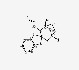 O=COC1[C@@H]2OC[C@H](CC13Cc1ccccc1C3)O2